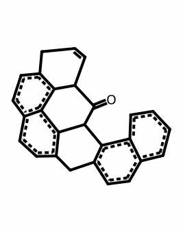 O=C1C2C=CCc3ccc4ccc5c(c4c32)C1c1c(ccc2ccccc12)C5